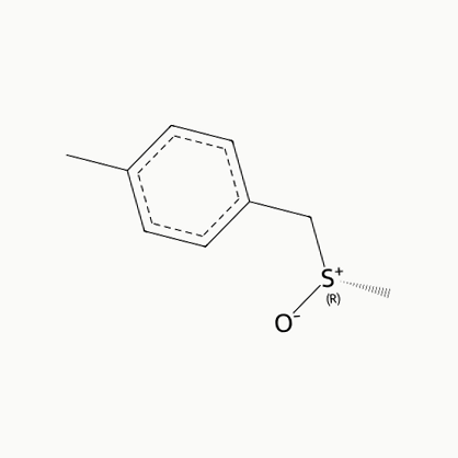 Cc1ccc(C[S@+](C)[O-])cc1